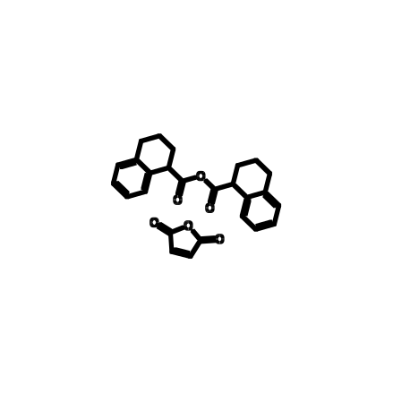 O=C(OC(=O)C1CCCc2ccccc21)C1CCCc2ccccc21.O=C1C=CC(=O)O1